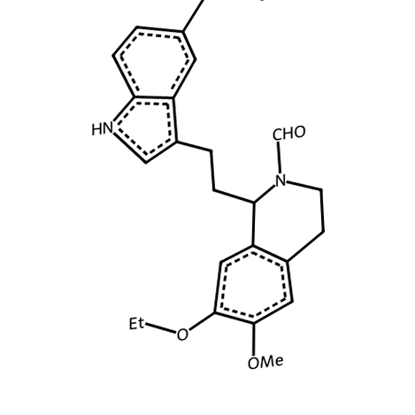 CCOc1cc2c(cc1OC)CCN(C=O)C2CCc1c[nH]c2ccc(OC(F)(F)F)cc12